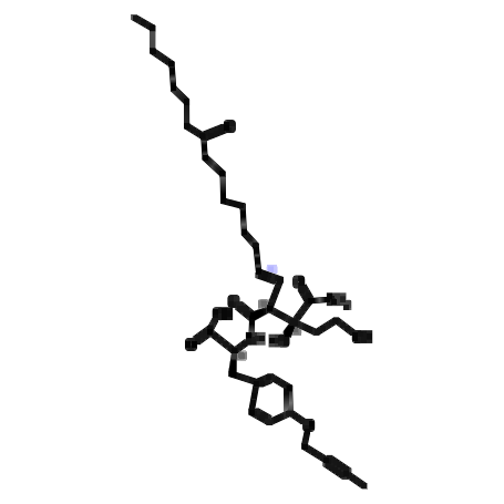 CC#CCOc1ccc(C[C@H](NC(=O)[C@@H](/C=C/CCCCCCC(=O)CCCCCCC)[C@@](O)(CCO)C(N)=O)C(=O)O)cc1